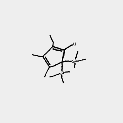 [Li][C]1=C(C)C(C)=C(C)C1([Si](C)(C)C)[Si](C)(C)C